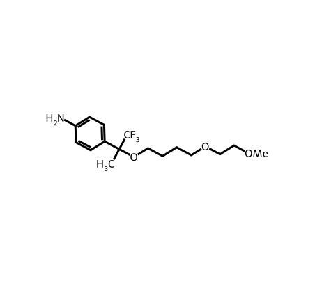 COCCOCCCCOC(C)(c1ccc(N)cc1)C(F)(F)F